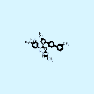 CC1=NN(/C(=N/c2nnc(C)s2)Nc2ccc(C)c(C)c2)C(c2ccc(-c3cccc(C(F)(F)F)c3)cc2)S1